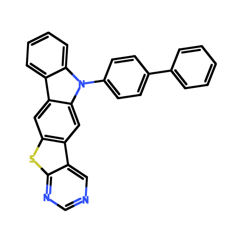 c1ccc(-c2ccc(-n3c4ccccc4c4cc5sc6ncncc6c5cc43)cc2)cc1